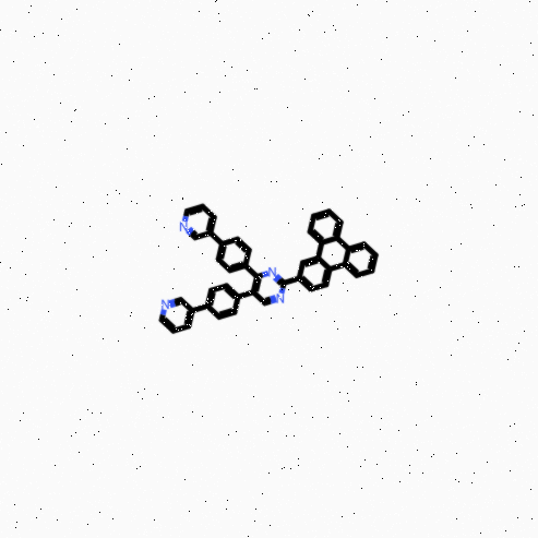 c1cncc(-c2ccc(-c3cnc(-c4ccc5c6ccccc6c6ccccc6c5c4)nc3-c3ccc(-c4cccnc4)cc3)cc2)c1